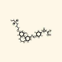 CCS(=O)(=O)CCCOc1cc(C)c2c(c1)CCCc1ccc(COc3ccc([C@H]4C[C@@H]4C(=O)O)cc3)cc1-2